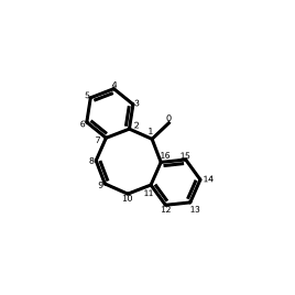 CC1c2ccccc2C=CCc2ccccc21